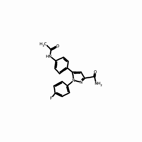 CC(=O)Nc1ccc(-c2cc(C(N)=O)nn2-c2ccc(F)cc2)cc1